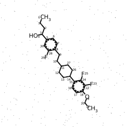 CCCC(O)c1ccc(CCC2CCC(c3ccc(OCC)c(F)c3F)CC2)c(F)c1